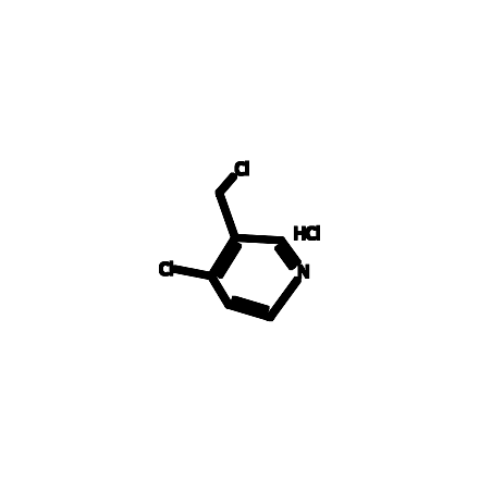 Cl.ClCc1cnccc1Cl